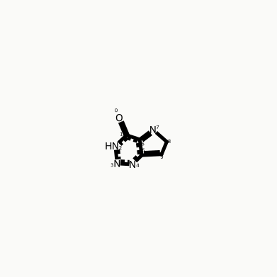 O=c1[nH]nnc2c1=NCC=2